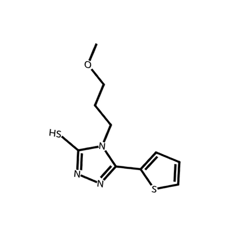 COCCCn1c(S)nnc1-c1cccs1